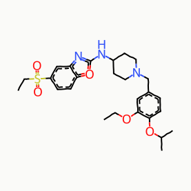 CCOc1cc(CN2CCC(Nc3nc4cc(S(=O)(=O)CC)ccc4o3)CC2)ccc1OC(C)C